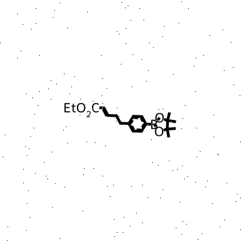 CCOC(=O)/C=C/CCc1ccc(B2OC(C)(C)C(C)(C)O2)cc1